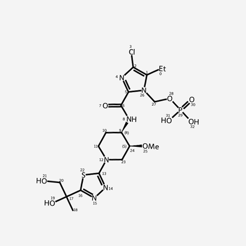 CCc1c(Cl)nc(C(=O)N[C@@H]2CCN(c3nnc(C(C)(O)CO)s3)C[C@@H]2OC)n1COP(=O)(O)O